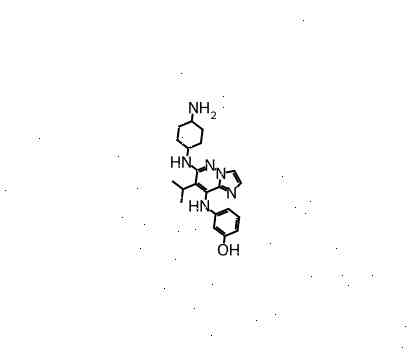 CC(C)c1c(NC2CCC(N)CC2)nn2ccnc2c1Nc1cccc(O)c1